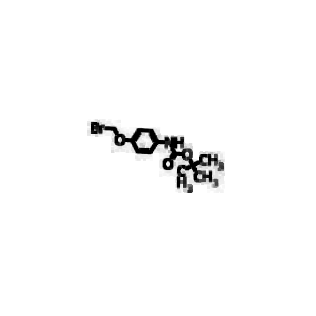 CC(C)(C)OC(=O)Nc1ccc(OCBr)cc1